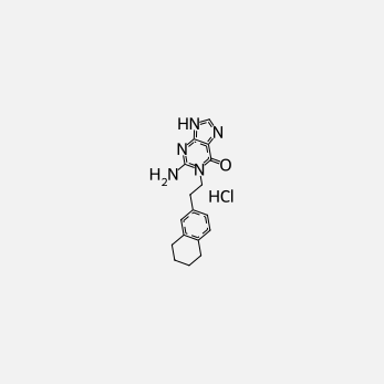 Cl.Nc1nc2[nH]cnc2c(=O)n1CCc1ccc2c(c1)CCCC2